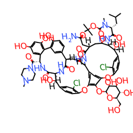 CC(C)C[C@H](C(=O)N[C@H]1C(=O)C[C@@H](CC(N)=O)C(=O)N[C@H]2C(=O)C[C@H]3C(=O)N[C@H](C(=O)N[C@H](C(=O)N4CCN(C)CC4)c4cc(O)cc(O)c4-c4cc3ccc4O)[C@H](O)c3ccc(c(Cl)c3)Oc3cc2cc(c3O[C@@H]2O[C@H](CO)[C@@H](O)[C@H](O)[C@H]2O)Oc2ccc(cc2Cl)[C@H]1O)N(C)C(=O)OC(C)(C)C